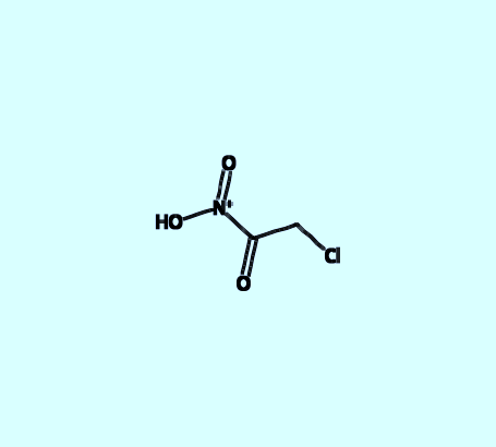 O=C(CCl)[N+](=O)O